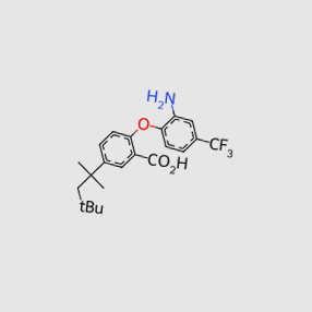 CC(C)(C)CC(C)(C)c1ccc(Oc2ccc(C(F)(F)F)cc2N)c(C(=O)O)c1